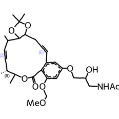 COCOc1cc(OCC(O)CNC(C)=O)cc2c1C(=O)OC(C)[C@H](C)/C=C\C(C)C1OC(C)(C)OC1C/C=C/2